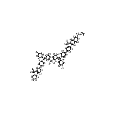 Cc1ccc(N(c2ccc(-c3ccc4c(c3)C(C)(C)c3ccccc3-4)cc2)c2ccc3c(c2)C(C)(C)c2cc(N(c4ccc(C)cc4)c4ccc(-c5ccc6c(c5)C(C)(C)c5cc7cc(CC(C)C)ccc7cc5-6)cc4)ccc2-3)cc1